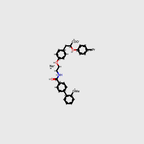 COc1ccccc1-c1ccc(C(=O)NCCOc2ccc(CC(Oc3ccc(C(C)C)cc3)C(=O)[O-])cc2)cc1.[Na+]